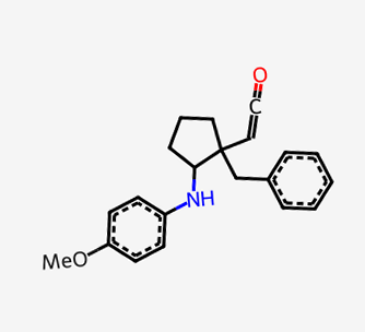 COc1ccc(NC2CCCC2(C=C=O)Cc2ccccc2)cc1